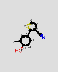 Cc1cc(-c2sccc2C#N)ccc1O